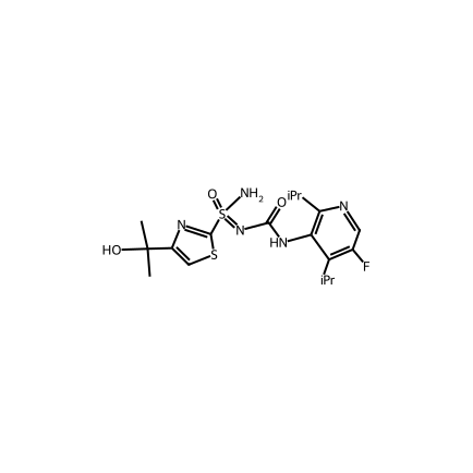 CC(C)c1ncc(F)c(C(C)C)c1NC(=O)N=S(N)(=O)c1nc(C(C)(C)O)cs1